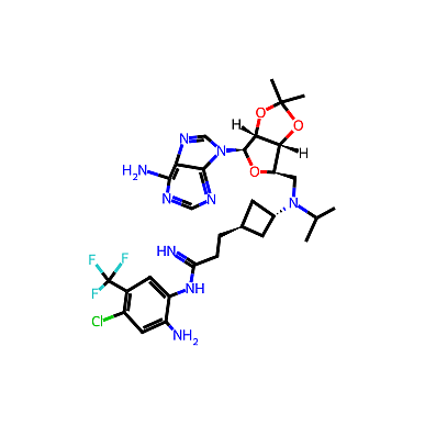 CC(C)N(C[C@H]1O[C@@H](n2cnc3c(N)ncnc32)[C@@H]2OC(C)(C)O[C@@H]21)[C@H]1C[C@H](CCC(=N)Nc2cc(C(F)(F)F)c(Cl)cc2N)C1